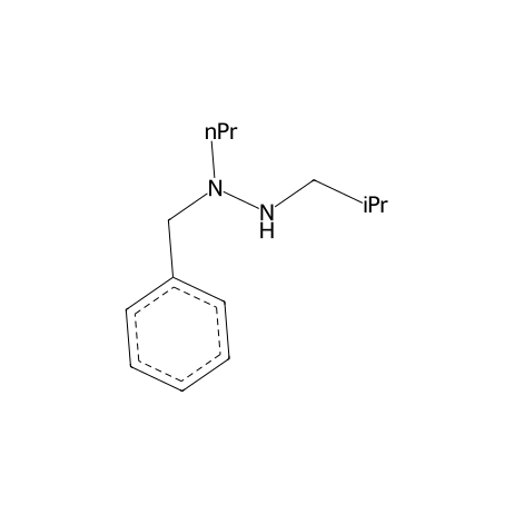 CCCN(Cc1ccccc1)NCC(C)C